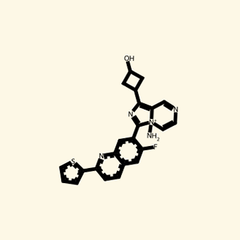 N[N+]12C=CN=CC1=C(C1CC(O)C1)N=C2c1cc2nc(-c3cccs3)ccc2cc1F